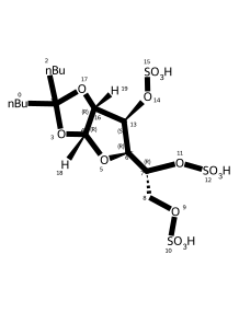 CCCCC1(CCCC)O[C@H]2O[C@H]([C@@H](COS(=O)(=O)O)OS(=O)(=O)O)[C@H](OS(=O)(=O)O)[C@H]2O1